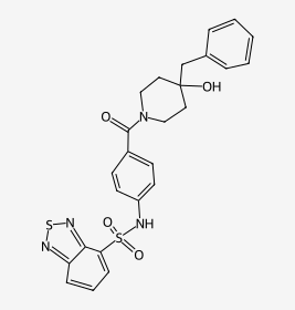 O=C(c1ccc(NS(=O)(=O)c2cccc3nsnc23)cc1)N1CCC(O)(Cc2ccccc2)CC1